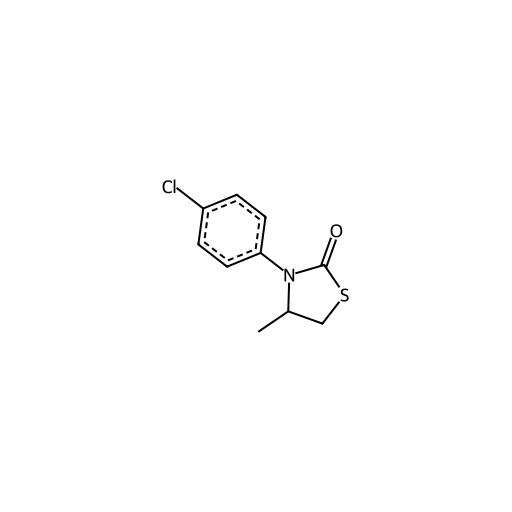 CC1CSC(=O)N1c1ccc(Cl)cc1